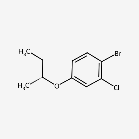 CC[C@@H](C)Oc1ccc(Br)c(Cl)c1